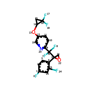 Fc1ccc(C2(C(F)(F)c3ccc(OC4CC4(F)F)cn3)CO2)c(F)c1